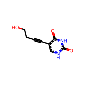 O=c1[nH]cc(C#CCCO)c(=O)[nH]1